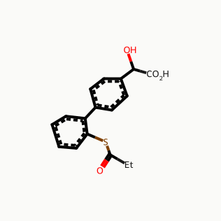 CCC(=O)Sc1ccccc1-c1ccc(C(O)C(=O)O)cc1